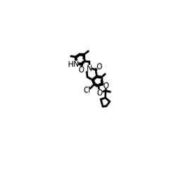 Cc1cc(C)c(CN2CCc3c(Cl)c4c(c(C)c3C2=O)OC(C)(C2CCCC2)O4)c(=O)[nH]1